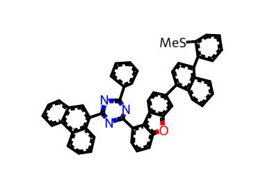 CSc1ccccc1-c1ccc(-c2ccc3c(c2)oc2cccc(-c4nc(-c5ccccc5)nc(-c5cc6ccccc6c6ccccc56)n4)c23)c2ccccc12